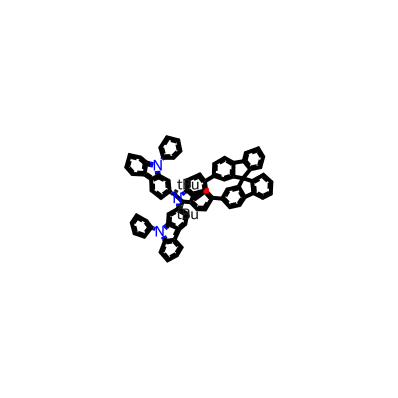 CC(C)(C)CC(c1ccc(-c2ccc3c(c2)C2(c4ccccc4-3)c3ccccc3-c3ccc(-c4ccc(N(c5ccc6c7ccccc7n(-c7ccccc7)c6c5)c5ccc6c7ccccc7n(-c7ccccc7)c6c5)cc4)cc32)cc1)C(C)(C)C